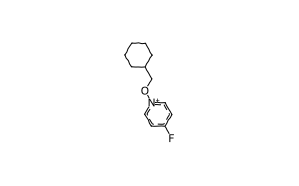 Fc1cc[n+](OCC2CCCCC2)cc1